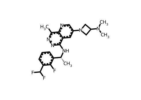 Cc1nnc(N[C@H](C)c2cccc(C(F)F)c2F)c2cc(N3CC(N(C)C)C3)cnc12